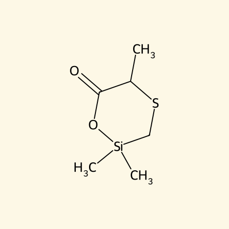 CC1SC[Si](C)(C)OC1=O